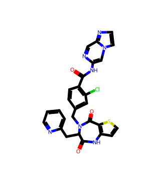 O=C(Nc1cn2ccnc2cn1)c1ccc(CN2C(=O)c3sccc3NC(=O)C2Cc2ccccn2)cc1Cl